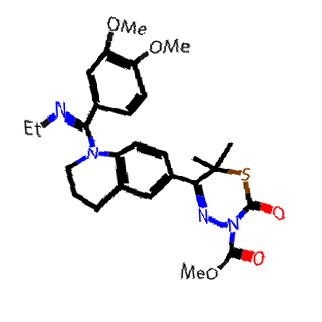 CC/N=C(/c1ccc(OC)c(OC)c1)N1CCCc2cc(C3=NN(C(=O)OC)C(=O)SC3(C)C)ccc21